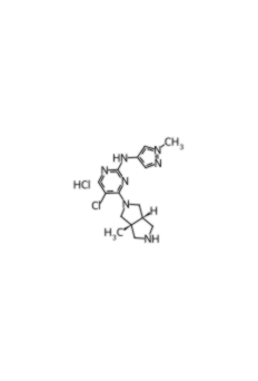 Cl.Cn1cc(Nc2ncc(Cl)c(N3C[C@@H]4CNC[C@]4(C)C3)n2)cn1